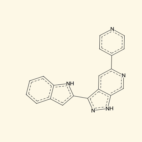 c1ccc2[nH]c(-c3n[nH]c4cnc(-c5ccncc5)cc34)cc2c1